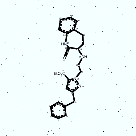 CCOC(=O)c1cc(Cc2ccccc2)nn1CCNC1CCc2ccccc2NC1=O